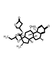 CCC(=O)O[C@]1(C(=O)SC2COC(=O)C2)[C@H](C)C[C@H]2[C@@H]3C[C@H](F)C4=CC(=O)C=C[C@]4(C)[C@@]3(F)[C@@H](O)C[C@@]21C